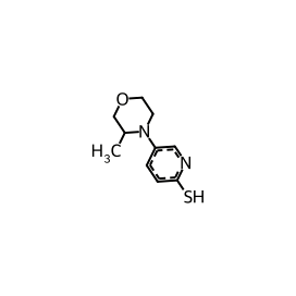 CC1COCCN1c1ccc(S)nc1